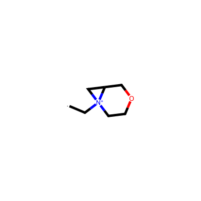 [CH2]C[N+]12CCOCC1C2